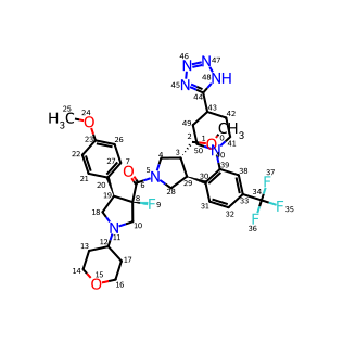 COC[C@H]1CN(C(=O)[C@]2(F)CN(C3CCOCC3)C[C@H]2c2ccc(OC)cc2)C[C@@H]1c1ccc(C(F)(F)F)cc1N1CCC(c2nnn[nH]2)CC1